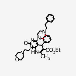 CCOC(=O)C1=C(C)Nc2c(c(N3CCN(CCc4ccccc4)CC3)nc(=O)n2CCN2CCOCC2)C1c1ccccc1